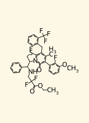 CCOC(=O)C(F)(F)CNC(c1ccccc1)C1CSc2c(Cc3c(F)cccc3C(F)(F)F)c(C)c(-c3cccc(OC)c3F)c(=O)n21